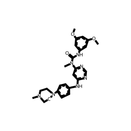 COc1cc(NC(=O)N(C)c2cc(Nc3ccc(N4CCN(C)CC4)cc3)ncn2)cc(OC)c1